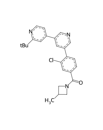 CC1CN(C(=O)c2ccc(-c3cncc(-c4ccnc(C(C)(C)C)c4)c3)c(Cl)c2)C1